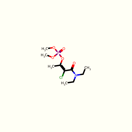 CCN(CC)C(=O)C(Cl)=C(C)OP(=O)(OC)OC